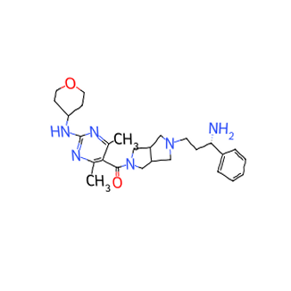 Cc1nc(NC2CCOCC2)nc(C)c1C(=O)N1CC2CN(CC[C@H](N)c3ccccc3)CC2C1